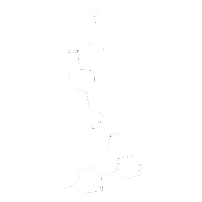 CSCCC(O)C(=O)N1CCC(c2nc(C(=O)Nc3ccccc3-c3ccc(Cl)cc3)cs2)CC1